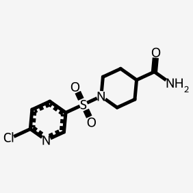 NC(=O)C1CCN(S(=O)(=O)c2ccc(Cl)nc2)CC1